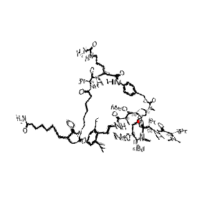 CC[C@H](C)[C@@H]([C@@H](CC(=O)N1C[C@@H](N(C)C(=O)OCc2ccc(NC(=O)[C@H](CCCNC(N)=O)NC(=O)[C@@H](NC(=O)CCCCCN3C(=O)CC(CCCCCCC(N)=O)C3=O)C(C)C)cc2)C[C@H]1[C@H](OC)[C@@H](C)C(=O)NCCc1c(F)cccc1F)OC)N(C)C(=O)[C@@H](NC(=O)[C@H](C(C)C)N(C)C)C(C)C